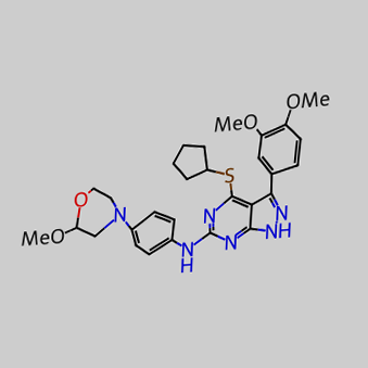 COc1ccc(-c2n[nH]c3nc(Nc4ccc(N5CCOC(OC)C5)cc4)nc(SC4CCCC4)c23)cc1OC